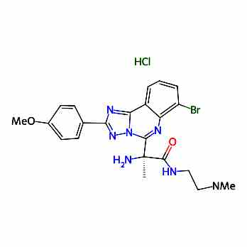 CNCCNC(=O)[C@@](C)(N)c1nc2c(Br)cccc2c2nc(-c3ccc(OC)cc3)nn12.Cl